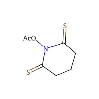 CC(=O)ON1C(=S)CCCC1=S